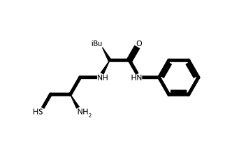 CC[C@H](C)[C@H](NC[C@@H](N)CS)C(=O)Nc1ccccc1